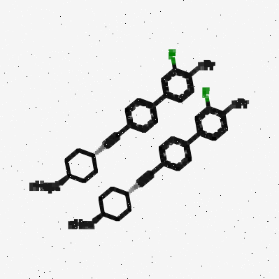 CCCCCCC[C@H]1CC[C@H](C#Cc2ccc(-c3ccc(CCC)c(F)c3)cc2)CC1.CCCCCC[C@H]1CC[C@H](C#Cc2ccc(-c3ccc(CCC)c(F)c3)cc2)CC1